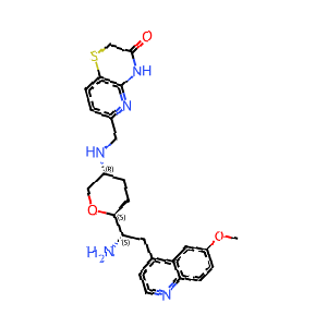 COc1ccc2nccc(C[C@H](N)[C@@H]3CC[C@@H](NCc4ccc5c(n4)NC(=O)CS5)CO3)c2c1